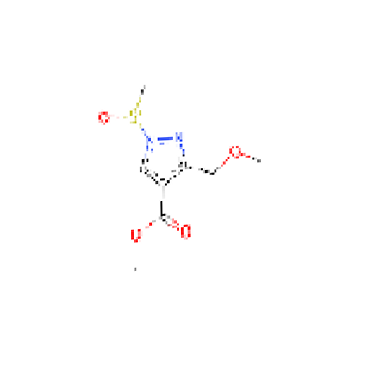 COCc1nn([S+](C)[O-])cc1C(=O)OC